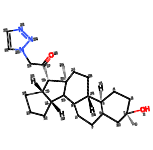 C[C@@]1(O)CC[C@H]2C(CCC3C4[C@@H]5CCC[C@@H]5[C@H](C(=O)Cn5ccnn5)[C@@]4(C)CC[C@@H]32)C1